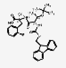 C[C@@H](OC(C)(C)C)[C@H](NC(=O)OCC1c2ccccc2-c2ccccc21)C(=O)N[C@@](C)(Cc1ccccc1F)C(=O)O